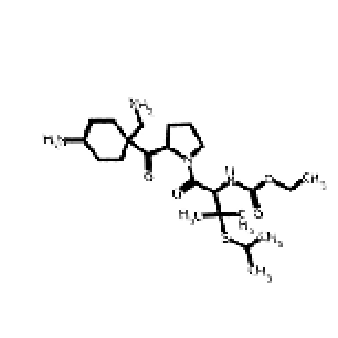 CCOC(=O)NC(C(=O)N1CCCC1C(=O)C1(CN)CCC(N)CC1)C(C)(C)SC(C)C